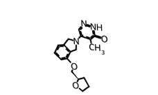 Cc1c(N2Cc3cccc(OC[C@H]4CCCO4)c3C2)cn[nH]c1=O